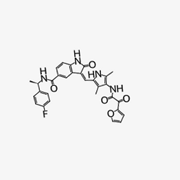 Cc1[nH]c(/C=C2\C(=O)Nc3ccc(C(=O)N[C@H](C)c4ccc(F)cc4)cc32)c(C)c1NC(=O)C(=O)c1ccco1